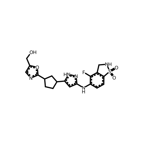 O=S1(=O)NCc2c1ccc(Nc1cc(C3CCC(c4ncc(CO)o4)C3)[nH]n1)c2F